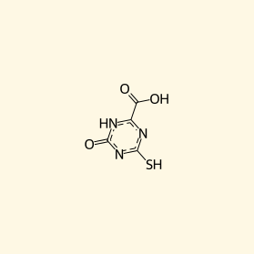 O=C(O)c1nc(S)nc(=O)[nH]1